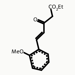 CCOC(=O)CC(=O)C=Cc1ccccc1OC